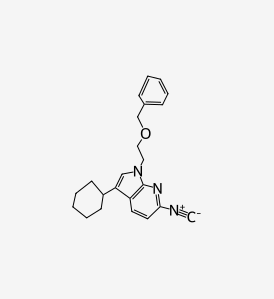 [C-]#[N+]c1ccc2c(C3CCCCC3)cn(CCOCc3ccccc3)c2n1